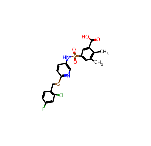 Cc1cc(S(=O)(=O)Nc2ccc(SCc3ccc(F)cc3Cl)nc2)cc(C(=O)O)c1C